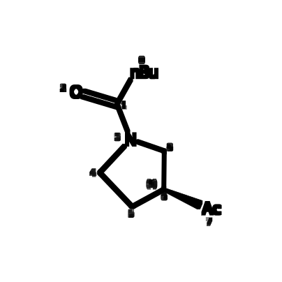 CCCCC(=O)N1CC[C@H](C(C)=O)C1